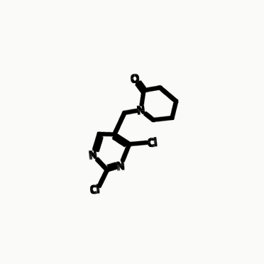 O=C1CCCCN1Cc1cnc(Cl)nc1Cl